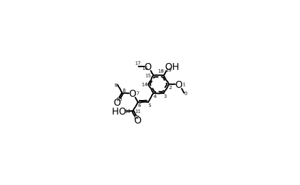 COc1cc(C=C(OC(C)=O)C(=O)O)cc(OC)c1O